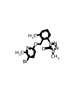 Cc1cccc(-n2nnn(C)c2=O)c1COc1ccc(Br)c(C)n1